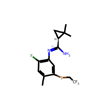 Cc1cc(F)c(/N=C(\N)[C@H]2CC2(C)C)cc1SCC(F)(F)F